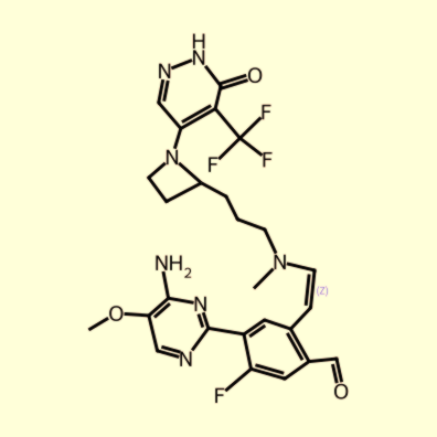 COc1cnc(-c2cc(/C=C\N(C)CCCC3CCN3c3cn[nH]c(=O)c3C(F)(F)F)c(C=O)cc2F)nc1N